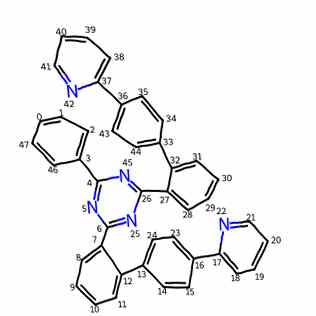 c1ccc(-c2nc(-c3ccccc3-c3ccc(-c4ccccn4)cc3)nc(-c3ccccc3-c3ccc(-c4ccccn4)cc3)n2)cc1